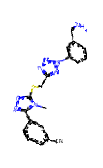 Cn1c(SCc2nnn(-c3cccc(CN)c3)n2)nnc1-c1cccc(C#N)c1